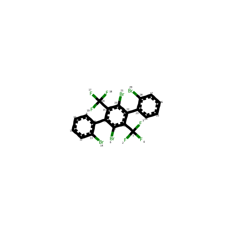 FC(F)(F)c1c(Br)c(-c2ccccc2Br)c(C(F)(F)F)c(Br)c1-c1ccccc1Br